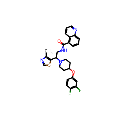 Cc1ncsc1C(CNC(=O)c1cccc2ncccc12)N1CCC(Oc2ccc(F)c(F)c2)CC1